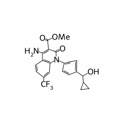 COC(=O)c1c(N)c2ccc(C(F)(F)F)cc2n(-c2ccc(C(O)C3CC3)cc2)c1=O